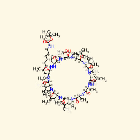 CC[C@@H]1NC(=O)[C@H](C[C@H](C)CCCCCCNC(=O)OC(C)(C)C)N(C)C(=O)[C@H](C(C)C)N(C)C(=O)[C@H](CC(C)C)N(C)C(=O)[C@H](CC(C)C)N(C)C(=O)[C@H](C)NC(=O)[C@@H](C)NC(=O)[C@@H](CC(C)C)N(C)C(=O)[C@@H](C(C)C)NC(=O)[C@H](CC(C)C)N(C)C(=O)[C@@H](CO)N(C)C1=O